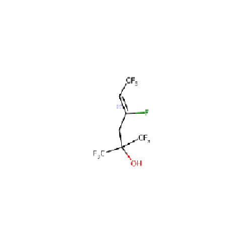 OC(C/C(F)=C/C(F)(F)F)(C(F)(F)F)C(F)(F)F